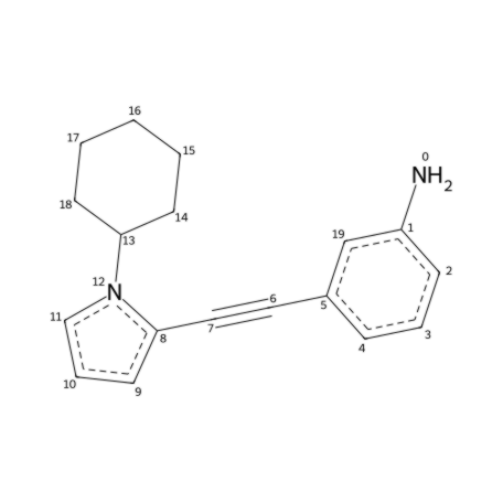 Nc1cccc(C#Cc2cccn2C2CCCCC2)c1